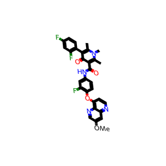 COc1cnc2c(Oc3ccc(NC(=O)c4c(C)n(C)c(C)c(-c5ccc(F)cc5F)c4=O)cc3F)ccnc2c1